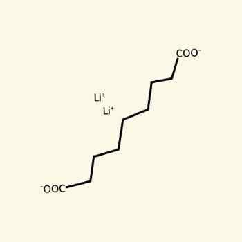 O=C([O-])CCCCCCCC(=O)[O-].[Li+].[Li+]